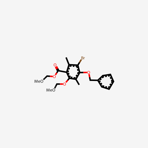 COCOC(=O)c1c(C)c(Br)c(OCc2ccccc2)c(C)c1OCOC